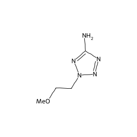 COCCn1nnc(N)n1